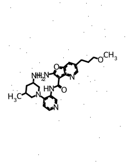 COCCCc1cnc2c(C(=O)Nc3cnccc3N3CC(C)CC(N)C3)c(N)oc2c1